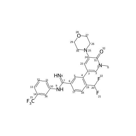 Cn1cc(-c2cc(C(=N)Nc3cccc(C(F)(F)F)c3)ccc2C(F)F)cc(N2CCOCC2)c1=O